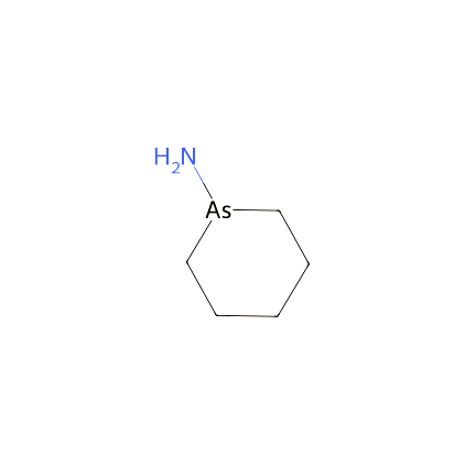 N[As]1CCCCC1